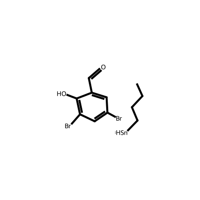 CCC[CH2][SnH].O=Cc1cc(Br)cc(Br)c1O